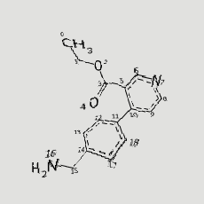 CCOC(=O)c1cnccc1-c1ccc(CN)cc1